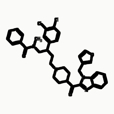 CN(CC(CCN1CCC(C(=O)c2nc3ccccc3n2Cc2ccoc2)CC1)c1ccc(Cl)c(Cl)c1)C(=O)c1ccccc1